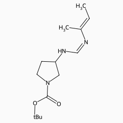 C/C=C(C)/N=C\NC1CCN(C(=O)OC(C)(C)C)C1